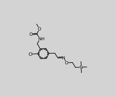 COC(=O)NCc1cc(CC=NOCC[Si](C)(C)C)ccc1Cl